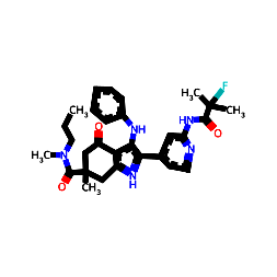 CCCN(C)C(=O)C1(C)CC(=O)c2c([nH]c(-c3ccnc(NC(=O)C(C)(C)F)c3)c2Nc2ccccc2)C1